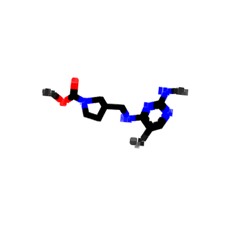 CC(C)(C)Nc1ncc([N+](=O)[O-])c(NCC2CCN(C(=O)OC(C)(C)C)C2)n1